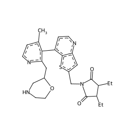 CCC1C(=O)N(Cc2cc3nccc(-c4c(C)ccnc4CC4CNCCO4)c3s2)C(=O)C1CC